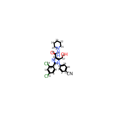 N#Cc1ccc(-n2c(-c3ccc(Cl)cc3Cl)nc(C(=O)NN3CCCCC3)c2CO)cc1